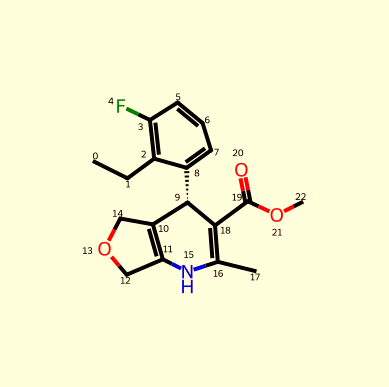 CCc1c(F)cccc1[C@H]1C2=C(COC2)NC(C)=C1C(=O)OC